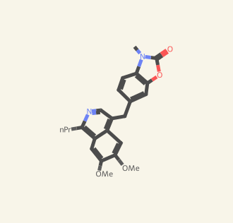 CCCc1ncc(Cc2ccc3c(c2)oc(=O)n3C)c2cc(OC)c(OC)cc12